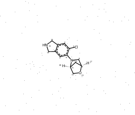 Clc1cc2c(cc1N1C[C@@H]3C[C@H]1CO3)CNC2